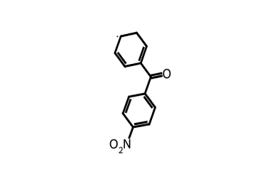 O=C(C1=CC[CH]C=C1)c1ccc([N+](=O)[O-])cc1